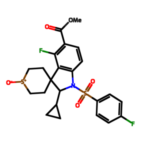 COC(=O)c1ccc2c(c1F)C1(CC[S+]([O-])CC1)C(C1CC1)N2S(=O)(=O)c1ccc(F)cc1